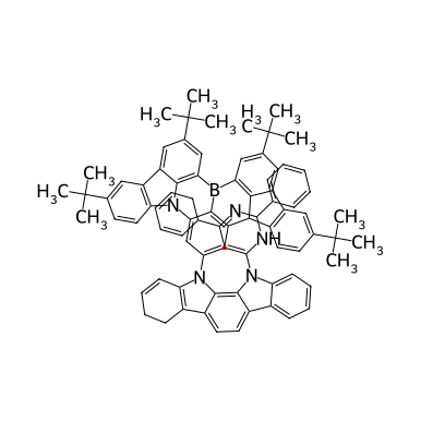 CC(C)(C)c1ccc2c(c1)-c1cc(C(C)(C)C)cc3c1C2c1cc(-n2c4c(c5ccc6c7ccccc7n(C7=CC(C8C=CC=CC8)=NC(c8ccccc8)N7)c6c52)CCC=C4)cc2c1B3c1cc(C(C)(C)C)cc3c4cc(C(C)(C)C)ccc4n-2c13